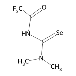 CN(C)C(=[Se])NC(=O)C(F)(F)F